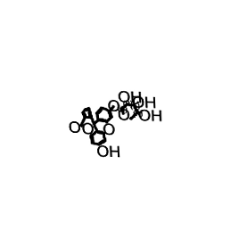 O=C1OC2(c3ccc(O)cc3Oc3cc(O[C@@H]4OC[C@@H](O)[C@H](O)[C@H]4O)ccc32)c2ccccc21